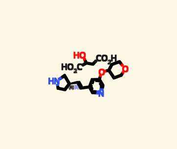 C(=C\[C@H]1CCNC1)/c1cncc(OC2CCOCC2)c1.O=C(O)CC(O)C(=O)O